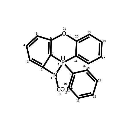 CCOC(=O)N1c2cccc3c2[PH]1(c1ccccc1)c1ccccc1O3